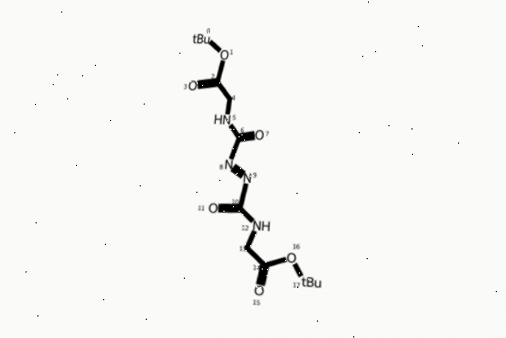 CC(C)(C)OC(=O)CNC(=O)N=NC(=O)NCC(=O)OC(C)(C)C